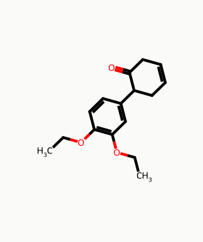 CCOc1ccc(C2CC=CCC2=O)cc1OCC